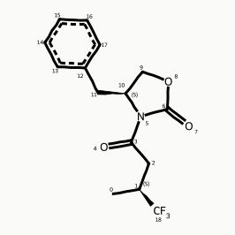 C[C@@H](CC(=O)N1C(=O)OC[C@@H]1Cc1ccccc1)C(F)(F)F